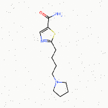 NC(=O)c1cnc(CCCCN2CCCC2)s1